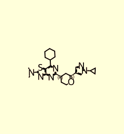 CN(C)c1nc2nc([C@@H]3CCO[C@H](c4cnn(C5CC5)c4)C3)nc(C3CCCCC3)c2s1